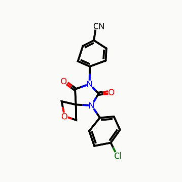 N#Cc1ccc(N2C(=O)N(c3ccc(Cl)cc3)C3(COC3)C2=O)cc1